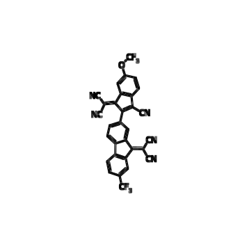 N#CC(C#N)=C1C(c2ccc3c(c2)C(=C(C#N)C#N)c2cc(C(F)(F)F)ccc2-3)=C(C#N)c2ccc(OC(F)(F)F)cc21